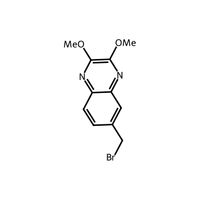 COc1nc2ccc(CBr)cc2nc1OC